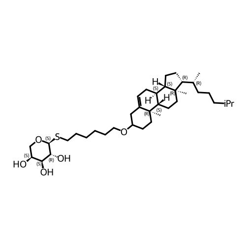 CC(C)CCC[C@@H](C)[C@H]1CC[C@H]2[C@@H]3CC=C4CC(OCCCCCCS[C@@H]5OC[C@H](O)[C@H](O)[C@H]5O)CC[C@]4(C)[C@H]3CC[C@]12C